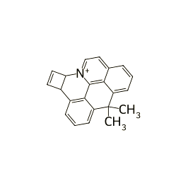 CC1(C)c2cccc3c2-c2c4c1cccc4cc[n+]2C1C=CC31